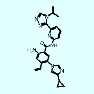 C=Cc1cc(N)c(C(=O)Nc2cccc(-c3nncn3C(C)C)n2)cc1-n1cnc(C2CC2)c1